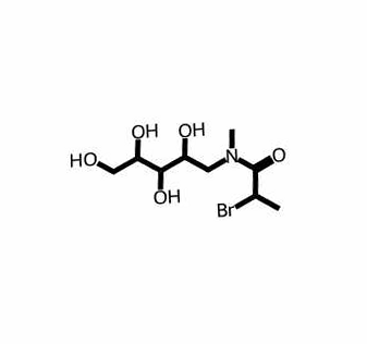 CC(Br)C(=O)N(C)CC(O)C(O)C(O)CO